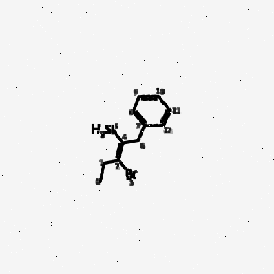 CCC(Br)=C([SiH3])Cc1ccccc1